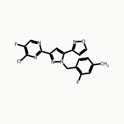 Cc1ccc(Cn2nc(-c3ncc(F)c(Cl)n3)cc2-c2ccon2)c(F)c1